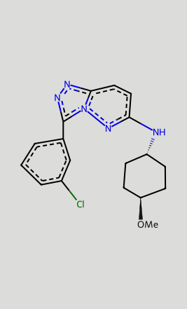 CO[C@H]1CC[C@H](Nc2ccc3nnc(-c4cccc(Cl)c4)n3n2)CC1